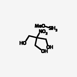 CO[SiH3].O=[N+]([O-])C(CO)(CO)CO